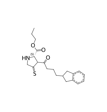 CCCOC(=O)[C@H]1NCC(=S)C1C(=O)CCCC1Cc2ccccc2C1